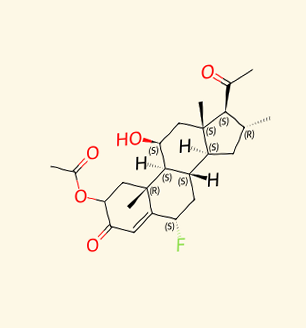 CC(=O)OC1C[C@@]2(C)C(=CC1=O)[C@@H](F)C[C@@H]1[C@@H]2[C@@H](O)C[C@@]2(C)[C@H]1C[C@@H](C)[C@@H]2C(C)=O